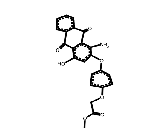 COC(=O)COc1ccc(Oc2cc(O)c3c(c2N)C(=O)c2ccccc2C3=O)cc1